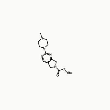 CN1CCN(c2ncc3c(n2)CN(C(=O)OC(C)(C)C)C3)CC1